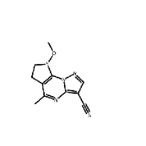 CON1CCc2c(C)nc3c(C#N)cnn3c21